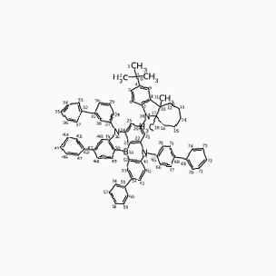 CC(C)(C)c1ccc2c(c1)C1(C)CCCCCC1(C)N2c1cc2c3c(c1)N(c1cccc(-c4ccccc4)c1)c1cc(-c4ccccc4)ccc1B3c1cc(-c3ccccc3)ccc1N2c1ccc(-c2ccccc2)cc1